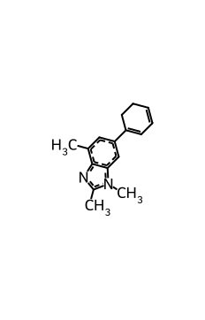 Cc1cc(C2=CC=CCC2)cc2c1nc(C)n2C